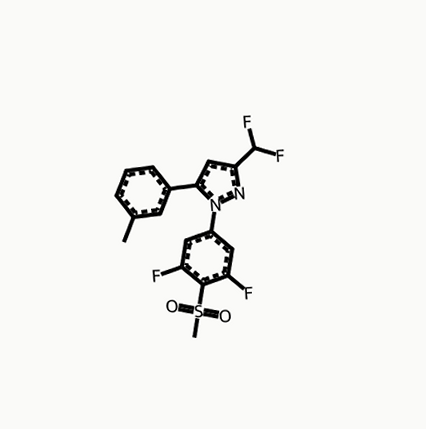 Cc1cccc(-c2cc(C(F)F)nn2-c2cc(F)c(S(C)(=O)=O)c(F)c2)c1